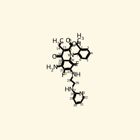 CCc1ccccc1-n1c(C(=O)O)c(CC)c(=O)c2c(N)c(F)c(NCCNc3ccccn3)c(F)c21